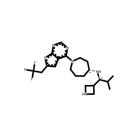 CC(C)[C@H](N[C@@H]1CCCN(c2ncnc3sc(CC(F)(F)F)cc23)CC1)C1CNC1